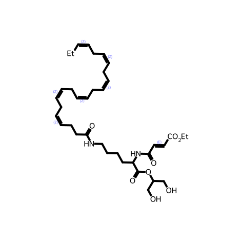 CC/C=C\C/C=C\C/C=C\C/C=C\C/C=C\C/C=C\CCC(=O)NCCCCC(NC(=O)/C=C/C(=O)OCC)C(=O)OC(CO)CO